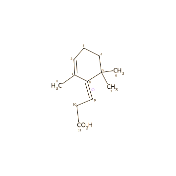 CC1=CCCC(C)(C)/C1=C/CC(=O)O